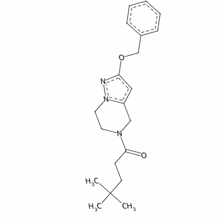 CC(C)(C)CCC(=O)N1CCn2nc(OCc3ccccc3)cc2C1